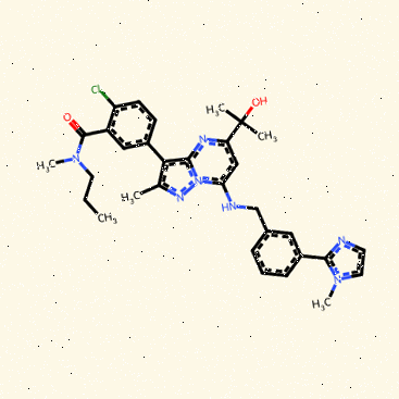 CCCN(C)C(=O)c1cc(-c2c(C)nn3c(NCc4cccc(-c5nccn5C)c4)cc(C(C)(C)O)nc23)ccc1Cl